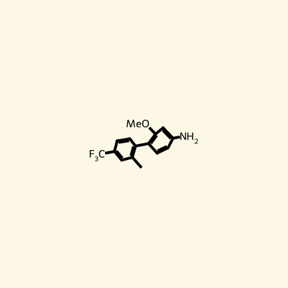 COc1cc(N)ccc1-c1ccc(C(F)(F)F)cc1C